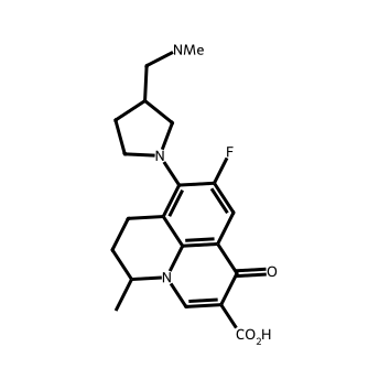 CNCC1CCN(c2c(F)cc3c(=O)c(C(=O)O)cn4c3c2CCC4C)C1